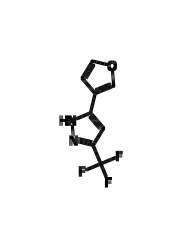 FC(F)(F)c1cc(-c2ccoc2)[nH]n1